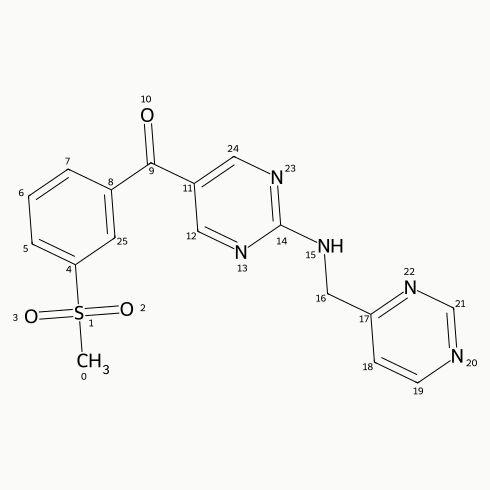 CS(=O)(=O)c1cccc(C(=O)c2cnc(NCc3ccncn3)nc2)c1